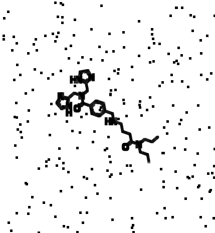 CCCN(CCC)C(=O)CCCNCc1ccc(C(=O)N(Cc2ncc[nH]2)Cc2ncc[nH]2)cc1